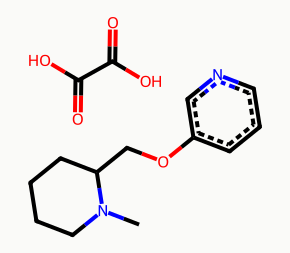 CN1CCCCC1COc1cccnc1.O=C(O)C(=O)O